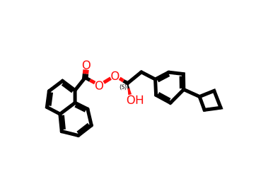 O=C(OO[C@H](O)Cc1ccc(C2CCC2)cc1)c1cccc2ccccc12